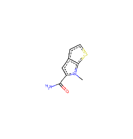 Cn1c(C(N)=O)cc2ccsc21